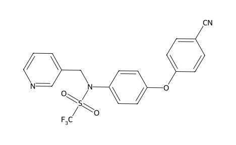 N#Cc1ccc(Oc2ccc(N(Cc3cccnc3)S(=O)(=O)C(F)(F)F)cc2)cc1